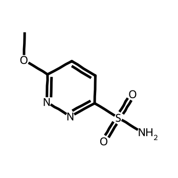 COc1ccc(S(N)(=O)=O)nn1